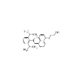 CC(C)c1cccc(C(C)C)c1N1C=c2cccc3c2=C(C=CC3OCCO)C1